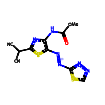 COC(=O)Nc1nc(C(C#N)C#N)sc1/N=N/c1nncs1